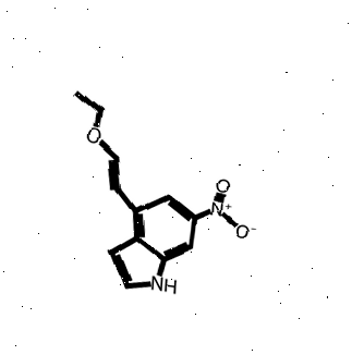 CCOC=Cc1cc([N+](=O)[O-])cc2[nH]ccc12